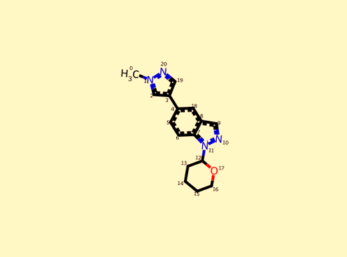 Cn1cc(-c2ccc3c(cnn3C3CCCCO3)c2)cn1